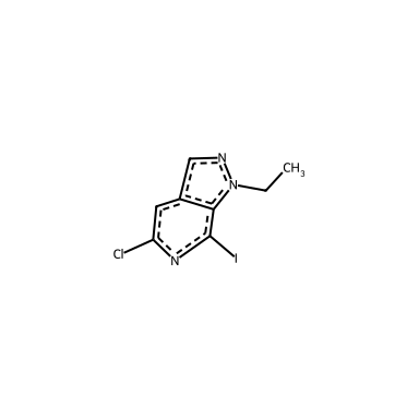 CCn1ncc2cc(Cl)nc(I)c21